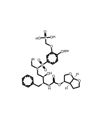 COc1ccc(S(=O)(=O)N(CC(C)C)C[C@@H](O)[C@H](Cc2ccccc2)NC(=O)O[C@H]2CO[C@H]3OCC[C@H]32)cc1OCP(=O)(O)O